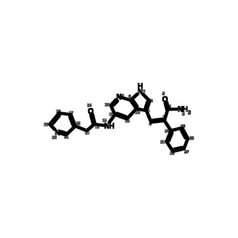 NC(=O)C(=Cc1c[nH]c2ncc(NC(=O)Cc3cccnc3)cc12)c1ccccc1